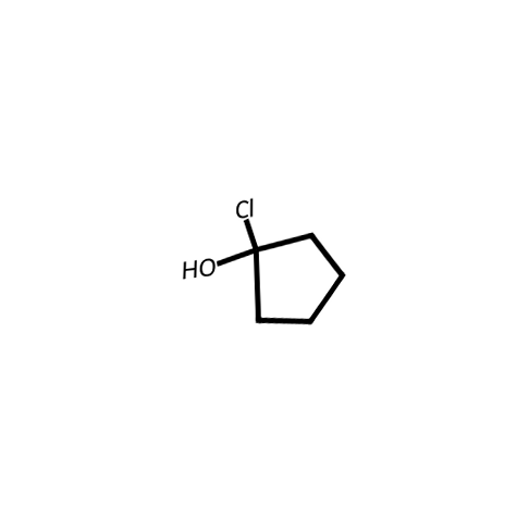 OC1(Cl)CCCC1